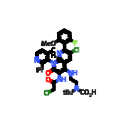 COc1cccc(F)c1-c1nc2c(cc1Cl)c(NCCN(C(=O)O)C(C)(C)C)c(NC(=O)CCl)c(=O)n2-c1c(C)ccnc1C(C)C